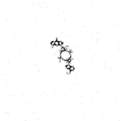 Nc1ncnc2c1ncn2[C@@H]1C[C@@H]2COP(=O)(S)O[C@H]3[C@@H](O)[C@H](n4cnc5c(=O)n6cc[nH]c6nc54)O[C@@H]3COP(=O)(S)OC[C@H]21